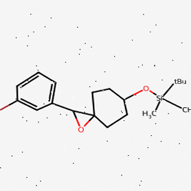 CC(C)(C)[Si](C)(C)OC1CCC2(CC1)OC2c1cccc(Br)c1